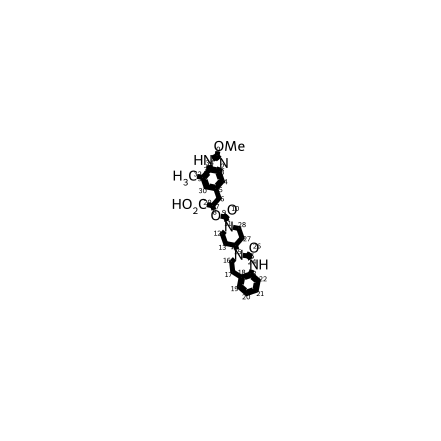 COc1nc2cc(CC(OC(=O)N3CCC(N4CCc5ccccc5NC4=O)CC3)C(=O)O)cc(C)c2[nH]1